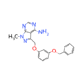 Cn1nc(COc2cccc(OCc3ccccc3)c2)c2c(N)ncnc21